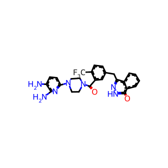 Nc1ccc(N2CCN(C(=O)c3cc(Cc4n[nH]c(=O)c5ccccc45)ccc3C(F)(F)F)CC2)nc1N